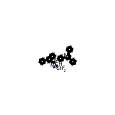 C=N/C=N\C1=C(C)N(c2ccc(-c3cc(-c4ccccc4)cc(-c4ccccc4)n3)cc2)c2cccc3cc(-c4ccccc4)cc1c23